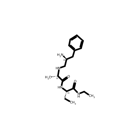 CCNC(=O)[C@H](CC)NC(=O)[C@H](C)NC[C@@H](N)Cc1ccccc1